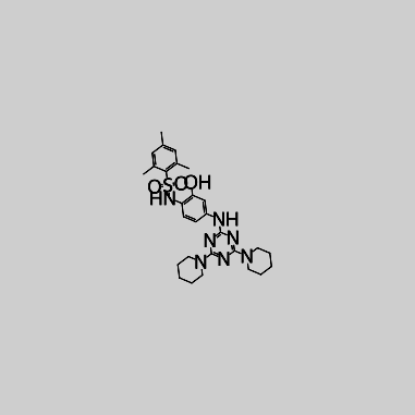 Cc1cc(C)c(S(=O)(=O)Nc2ccc(Nc3nc(N4CCCCC4)nc(N4CCCCC4)n3)cc2O)c(C)c1